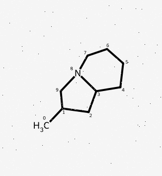 CC1CC2CCCCN2C1